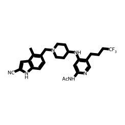 CC(=O)Nc1cc(NC2CCN(Cc3ccc4[nH]c(C#N)cc4c3C)CC2)c(CCCC(F)(F)F)cn1